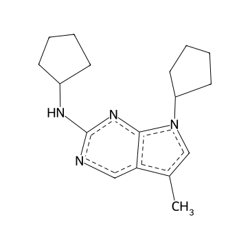 Cc1cn(C2CCCC2)c2nc(NC3CCCC3)ncc12